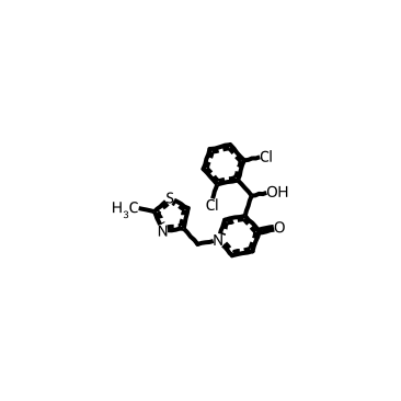 Cc1nc(Cn2ccc(=O)c(C(O)c3c(Cl)cccc3Cl)c2)cs1